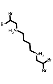 BrC(Br)C[SiH2]CCCC[SiH2]CC(Br)Br